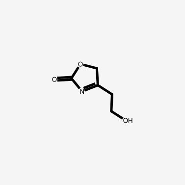 O=C1N=C(CCO)CO1